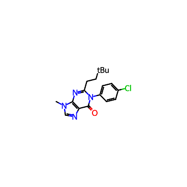 Cn1cnc2c(=O)n(-c3ccc(Cl)cc3)c(CCC(C)(C)C)nc21